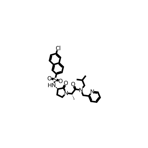 CC(C)CN(Cc1ccccn1)C(=O)[C@H](C)N1CC[C@H](NS(=O)(=O)c2ccc3cc(Cl)ccc3c2)C1=O